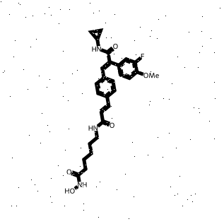 COc1ccc(/C(=C\c2ccc(C=CC(=O)NCCCCCC(=O)NO)cc2)C(=O)NC2CC2)cc1F